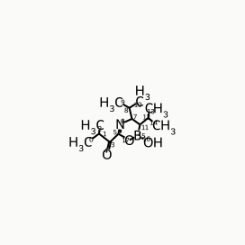 CC(C)C(=O)C1=NC(C(C)C)C(C(C)C)B(O)O1